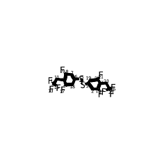 Fc1cc(SSc2cc(F)c(CC(F)(F)F)c(F)c2)cc(F)c1CC(F)(F)F